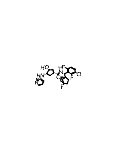 O=C(N[C@H](c1c(F)ccc(Cl)c1F)C12CCC(F)(CC1)C2)[C@H]1C[C@@H](O)[C@@H](Nc2cccnn2)C1